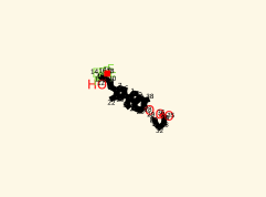 CCC(CC)(c1ccc(C=CC(O)(C(F)(F)F)C(F)(F)F)c(C)c1)c1ccc(OC[C@H]2CCCC(=O)O2)c(C)c1